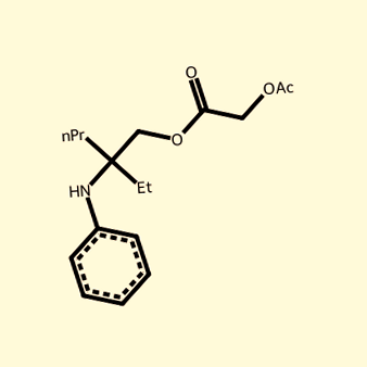 CCCC(CC)(COC(=O)COC(C)=O)Nc1ccccc1